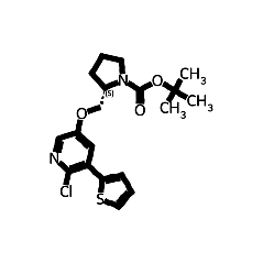 CC(C)(C)OC(=O)N1CCC[C@H]1COc1cnc(Cl)c(-c2cccs2)c1